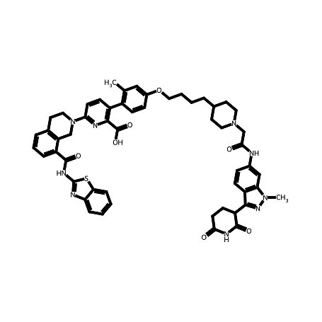 Cc1cc(OCCCCC2CCN(CC(=O)Nc3ccc4c(C5CCC(=O)NC5=O)nn(C)c4c3)CC2)ccc1-c1ccc(N2CCc3cccc(C(=O)Nc4nc5ccccc5s4)c3C2)nc1C(=O)O